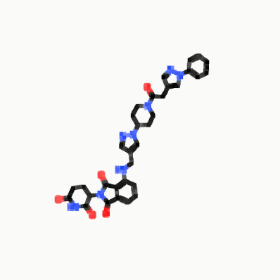 O=C1CCC(N2C(=O)c3cccc(NCc4cnn(C5CCN(C(=O)Cc6cnn(-c7ccccc7)c6)CC5)c4)c3C2=O)C(=O)N1